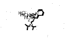 CC(C)N(CCC1(N)C=C2C=CC=CN2N1)C(C)C.Cl.Cl.N